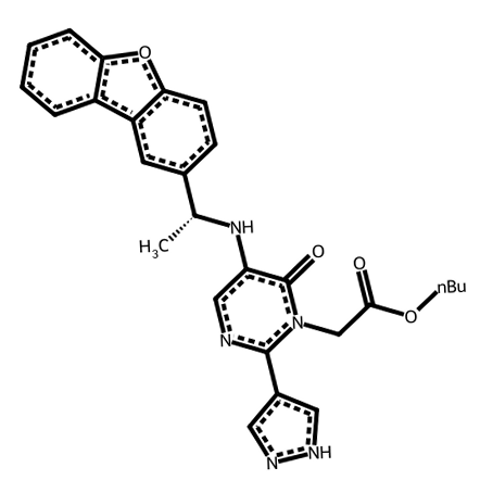 CCCCOC(=O)Cn1c(-c2cn[nH]c2)ncc(N[C@H](C)c2ccc3oc4ccccc4c3c2)c1=O